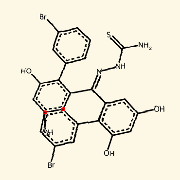 NC(=S)NN=C(c1cc(O)cc(O)c1-c1cccc(Br)c1)c1cc(O)cc(O)c1-c1cccc(Br)c1